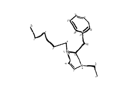 CCCCCN1C=CN(CC)C1Cc1ccccc1